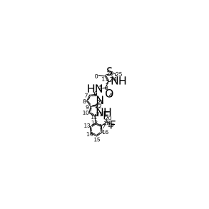 CC1=C(C(=O)Nc2ccc3cc(-c4ccccc4C(F)F)[nH]c3n2)NCS1